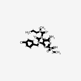 CCCN(C)C(=O)n1c(=O)n(Cc2ccc(Cl)cc2)c2nc([S@@](=N)(=O)CC)nc(N)c21